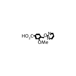 COc1cc(C(=O)O)ccc1COc1ncccn1